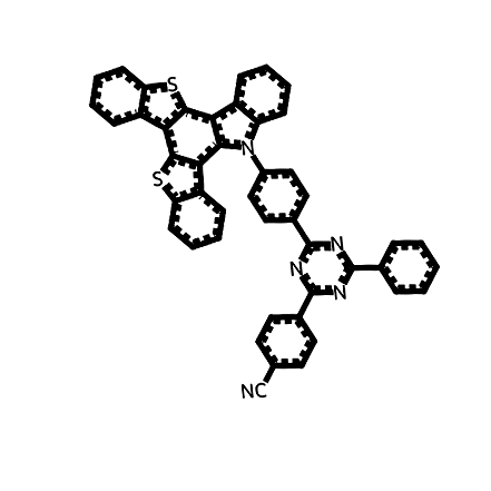 N#Cc1ccc(-c2nc(-c3ccccc3)nc(-c3ccc(-n4c5ccccc5c5c6sc7ccccc7c6c6sc7ccccc7c6c54)cc3)n2)cc1